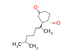 C/C(=C\CCC(C)C)[C@H]1CC(=O)CC[C@@H]1C=O